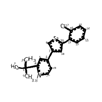 CC(C)(O)c1cc(-c2csc(-c3cc[c]cc3Cl)c2)ccn1